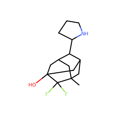 CC12CC3CC(O)(CC(C1)C3C1CCCN1)C2(F)F